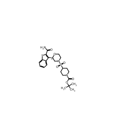 CC(C)(C)OC(=O)N1CCC(S(=O)(=O)N2CCO[C@H](c3c(C(N)=O)sc4ccccc34)C2)CC1